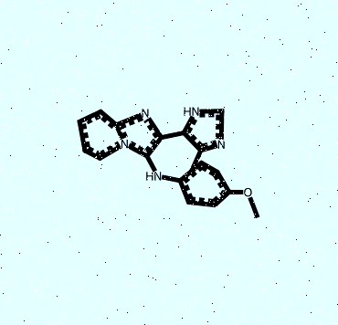 COc1ccc(Nc2c(-c3[nH]cnc3C)nc3ccccn23)cc1